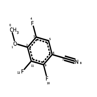 COc1c(F)cc(C#N)c(F)c1F